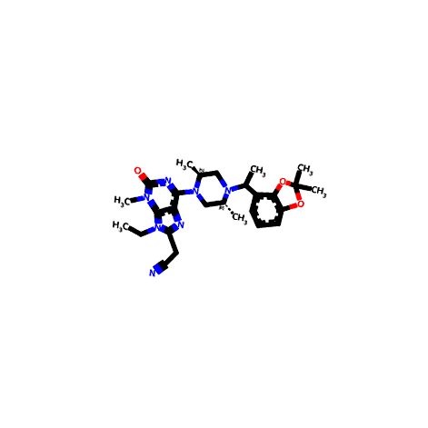 CCn1c(CC#N)nc2c(N3C[C@@H](C)N(C(C)c4cccc5c4OC(C)(C)O5)C[C@@H]3C)nc(=O)n(C)c21